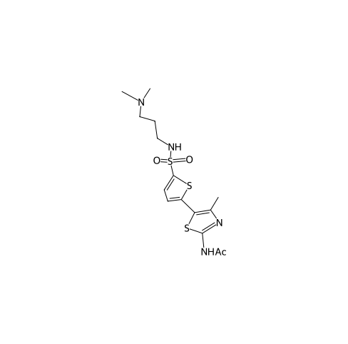 CC(=O)Nc1nc(C)c(-c2ccc(S(=O)(=O)NCCCN(C)C)s2)s1